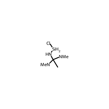 CNC(C)(NC)N[SiH2]Cl